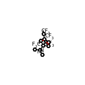 FC(F)(F)c1ccc(-c2ccc3c(c2)c2ccccc2n3-c2c(-c3ccccc3C(F)(F)F)cc(-c3cc(-c4ccccc4)nc(-c4ccccc4)n3)cc2-c2ccccc2C(F)(F)F)c(C(F)(F)F)c1